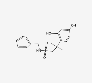 CC(C)(CS(=O)(=O)NCc1ccccc1)c1ccc(O)cc1O